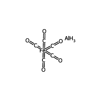 O=[C]=[Fe](=[C]=O)(=[C]=O)(=[C]=O)=[C]=O.[AlH3]